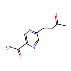 CC(=O)CCc1cnc(C(N)=O)cn1